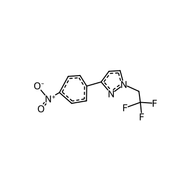 O=[N+]([O-])c1ccc(-c2ccn(CC(F)(F)F)n2)cc1